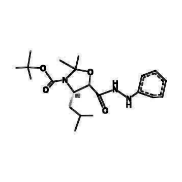 CC(C)C[C@H]1C(C(=O)NNc2ccccc2)OC(C)(C)N1C(=O)OC(C)(C)C